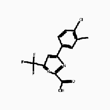 Cc1cc(-c2cc(C(F)(F)F)nc(C(=O)O)n2)ccc1Cl